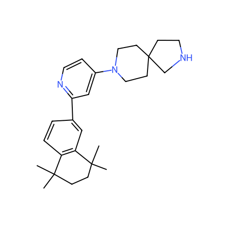 CC1(C)CCC(C)(C)c2cc(-c3cc(N4CCC5(CCNC5)CC4)ccn3)ccc21